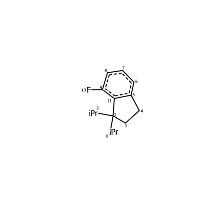 CC(C)C1(C(C)C)CCc2cccc(F)c21